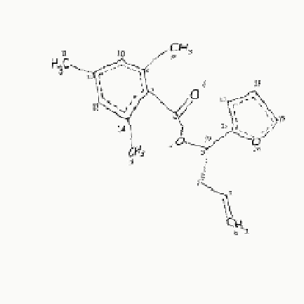 C=CC[C@H](OC(=O)c1c(C)cc(C)cc1C)c1ccco1